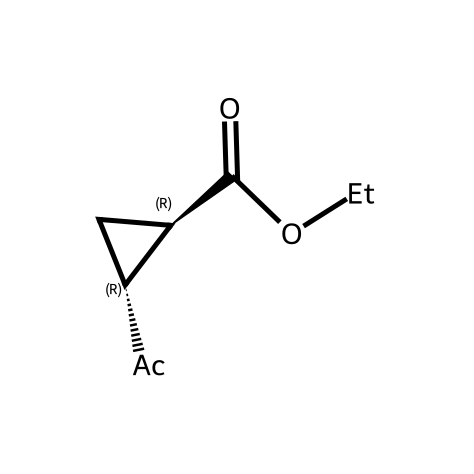 CCOC(=O)[C@@H]1C[C@H]1C(C)=O